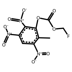 Cc1c([N+](=O)[O-])cc([N+](=O)[O-])c([N+](=O)[O-])c1OC(=O)OCF